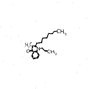 C=CCn1c(CCCCCCCC)c(C)c(=O)c2ccccc21